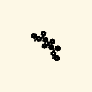 c1ccc(/C(=C(/c2ccccc2)c2ccc(N(c3ccccc3)c3ccc4sc5ccccc5c4c3)cc2)c2ccc(N(c3ccccc3)c3ccc4sc5ccccc5c4c3)cc2)cc1